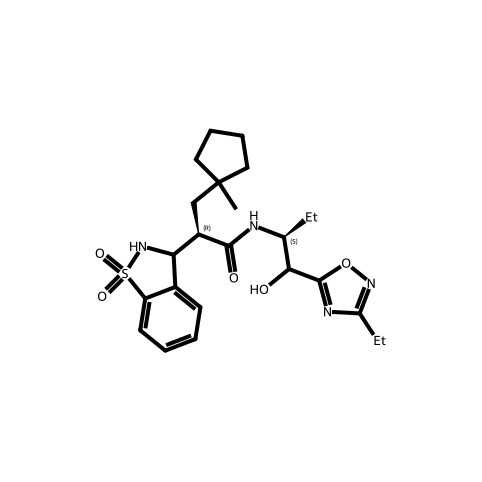 CCc1noc(C(O)[C@H](CC)NC(=O)[C@H](CC2(C)CCCC2)C2NS(=O)(=O)c3ccccc32)n1